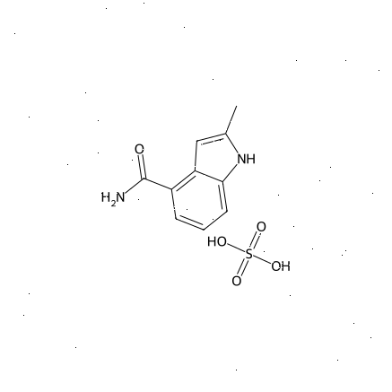 Cc1cc2c(C(N)=O)cccc2[nH]1.O=S(=O)(O)O